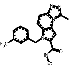 CCNC(=O)c1cc2c(ccc3nnc(C)n32)n1Cc1cccc(C(F)(F)F)c1